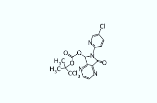 CC(C)(OC(=O)OC1c2nccnc2C(=O)N1c1ccc(Cl)cn1)C(Cl)(Cl)Cl